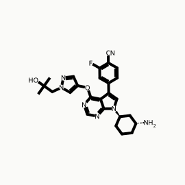 CC(C)(O)Cn1cc(Oc2ncnc3c2c(-c2ccc(C#N)c(F)c2)cn3[C@@H]2CCC[C@@H](N)C2)cn1